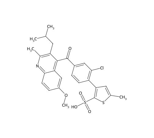 COc1ccc2nc(C)c(CC(C)C)c(C(=O)c3ccc(-c4cc(C)sc4S(=O)(=O)O)c(Cl)c3)c2c1